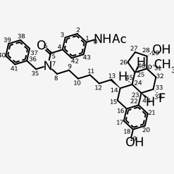 CC(=O)Nc1ccc(C(=O)N(CCCCCC[C@@H]2Cc3cc(O)ccc3[C@@H]3[C@@H]2[C@@H]2CC[C@H](O)[C@@]2(C)C[C@@H]3F)Cc2ccccc2)cc1